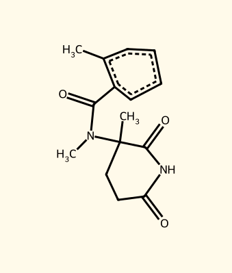 Cc1ccccc1C(=O)N(C)C1(C)CCC(=O)NC1=O